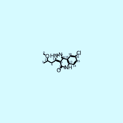 COC(C)Cc1[nH]nc2c1c(=O)[nH]c1ccc(Cl)cc12